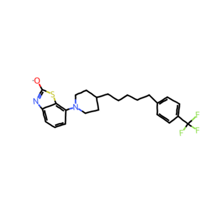 [O]c1nc2cccc(N3CCC(CCCCCc4ccc(C(F)(F)F)cc4)CC3)c2s1